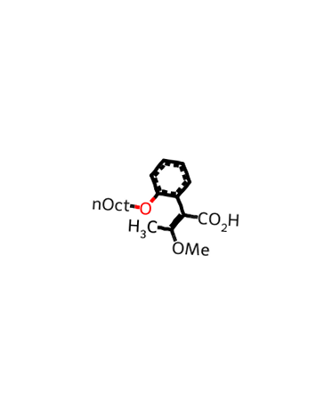 CCCCCCCCOc1ccccc1C(C(=O)O)=C(C)OC